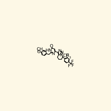 COc1ccc(Cc2nc(-c3nnn4c3CCCC4(C)c3ccc(C(F)(F)F)cc3F)cc(=O)[nH]2)cc1